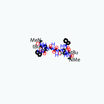 CN[C@@H](C)C(=O)N[C@H](C(=O)N1CC[C@@H]2C1[C@@H](C(=O)Nc1cccc3ccccc13)CN2C(=O)CNC(=O)C(=O)NCC(=O)N1CC(C(=O)Nc2cccc3ccccc23)[C@@H]2C1CCN2C(=O)[C@@H](NC(=O)[C@H](C)NC)C(C)(C)C)C(C)(C)C